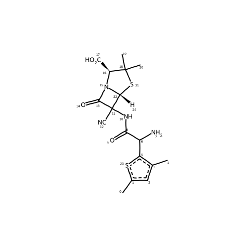 Cc1cc(C)c(C(N)C(=O)NC2(C#N)C(=O)N3[C@@H](C(=O)O)C(C)(C)S[C@@H]32)s1